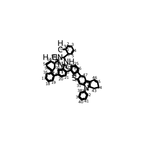 CC1C=CC=CC1C1NC(C)(c2cc(-c3ccccc3)ccc2-c2cccc3c2SC2=Cc4c(c5c(n4-c4ccccc4)CCC=C5)CC23)NC(C)(C2C=CC=CC2)N1